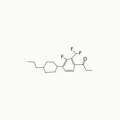 CCCC1CCC(c2ccc(C(=O)CC)c(C(F)F)c2F)CC1